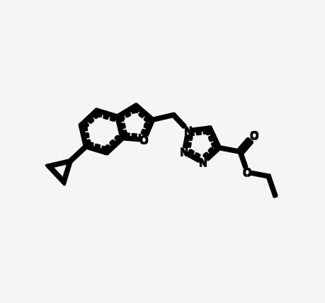 CCOC(=O)c1cn(Cc2cc3ccc(C4CC4)cc3o2)nn1